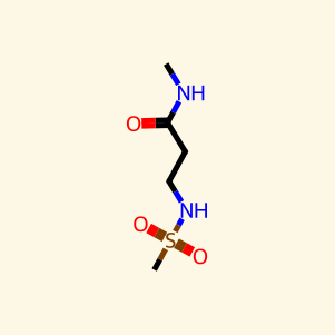 CNC(=O)CCNS(C)(=O)=O